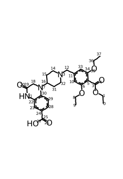 CCOC(=O)c1c(OCC)cc(CN2CCC(N3CC(=O)Nc4cc(C(=O)O)ccc43)CC2)cc1OCC